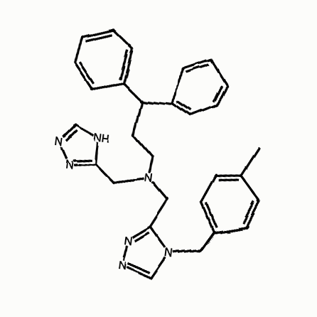 Cc1ccc(Cn2cnnc2CN(CCC(c2ccccc2)c2ccccc2)Cc2nnc[nH]2)cc1